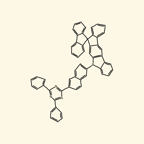 c1ccc(-c2nc(-c3ccccc3)nc(-c3ccc4cc(-n5c6ccccc6c6cc7c(cc65)C5(c6ccccc6-c6ccccc65)c5ccccc5-7)ccc4c3)n2)cc1